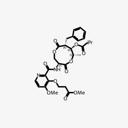 COC(=O)CCOc1c(OC)ccnc1C(=O)N[C@H]1COC(=O)[C@H](Cc2ccccc2)[C@@H](OC(=O)C(C)C)[C@H](C)OC1=O